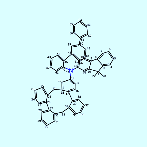 CC1(C)c2ccccc2-c2ccc(N(c3ccc4c(c3)Cc3ccccc3-c3ccccc3Cc3ccccc3-4)c3ccccc3-c3cccc(-c4ccccc4)c3)cc21